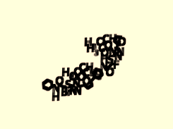 CC(C)(C)OC(=O)n1c(SC(F)C(=O)Nc2ccc(-c3ccc(-c4nnc(SC(Br)C(=O)NC5C=CC=CC5)n4C(=O)OC(C)(C)C)o3)cc2)nnc1-c1ccco1